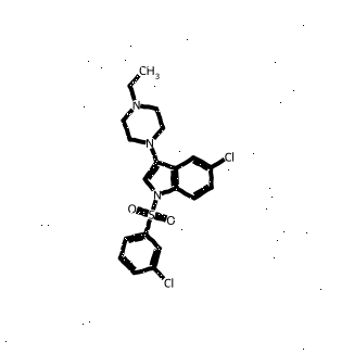 CCN1CCN(c2cn(S(=O)(=O)c3cccc(Cl)c3)c3ccc(Cl)cc23)CC1